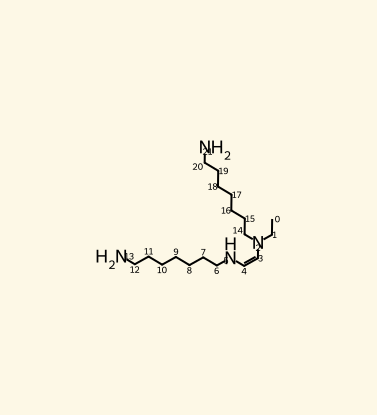 CCN(/C=C\NCCCCCCCN)CCCCCCCN